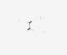 CC(=O)C(=O)O.CSSC